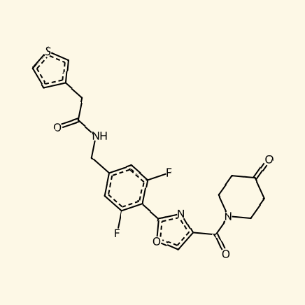 O=C1CCN(C(=O)c2coc(-c3c(F)cc(CNC(=O)Cc4ccsc4)cc3F)n2)CC1